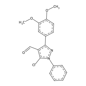 COc1ccc(-c2nn(-c3ccccc3)c(Cl)c2C=O)cc1OC